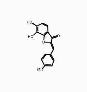 CC(C)(C)c1ccc(C=C2Oc3c(ccc(O)c3O)C2=O)cc1